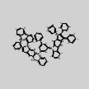 c1ccc(-c2cc(N3c4ccccc4Sc4cc5ccn(-c6cccc7c8ccccc8n(-c8ccccc8)c67)c5cc43)cc(-n3c4ccccc4c4cc5c(-c6ccccc6)c(-c6ccccc6)n(-c6ccccc6)c5cc43)c2)cc1